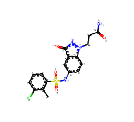 Cc1c(Cl)cccc1S(=O)(=O)Nc1ccc2c(c1)c(=O)[nH]n2CCC(N)=O